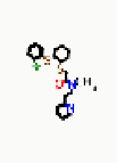 CN(CCc1ccccn1)C(=O)CS[C@@H]1CCCC[C@H]1Sc1ccccc1Br